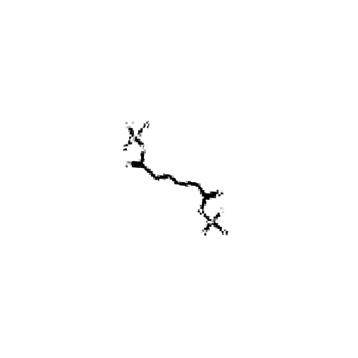 O=C(CCCCC(=O)O[Cl+3]([O-])([O-])[O-])O[Cl+3]([O-])([O-])[O-]